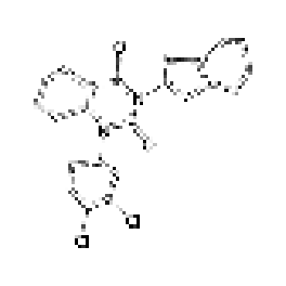 O=c1c2ccccc2n(-c2ccc(Cl)c(Cl)c2)c(=O)n1-c1cc2ccccc2s1